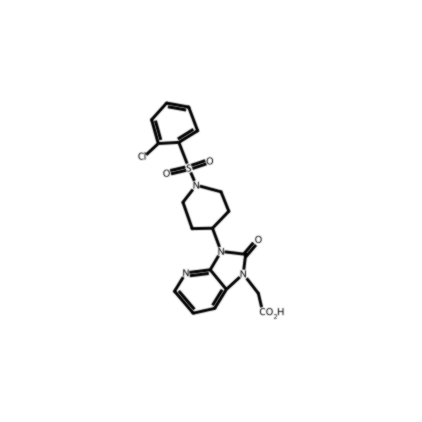 O=C(O)Cn1c(=O)n(C2CCN(S(=O)(=O)c3ccccc3Cl)CC2)c2ncccc21